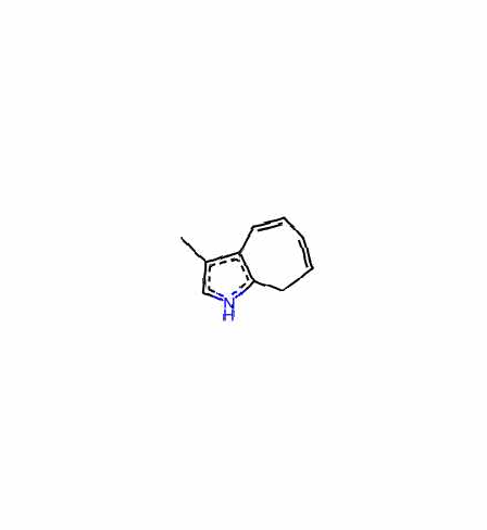 Cc1c[nH]c2c1C=CC=CC2